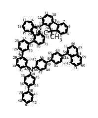 CC1(C)c2ccccc2-c2cccc(-n3c4ccccc4c4c(-c5cccc(-c6cccc(N(c7ccc(-c8ccccc8)cc7)c7ccc(-c8ccc(-c9cccc%10ccccc9%10)cc8)cc7)c6)c5)cccc43)c21